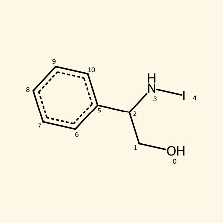 OCC(NI)c1ccccc1